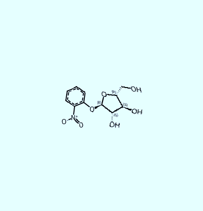 O=[N+]([O-])c1ccccc1O[C@H]1O[C@H](CO)[C@@H](O)[C@@H]1O